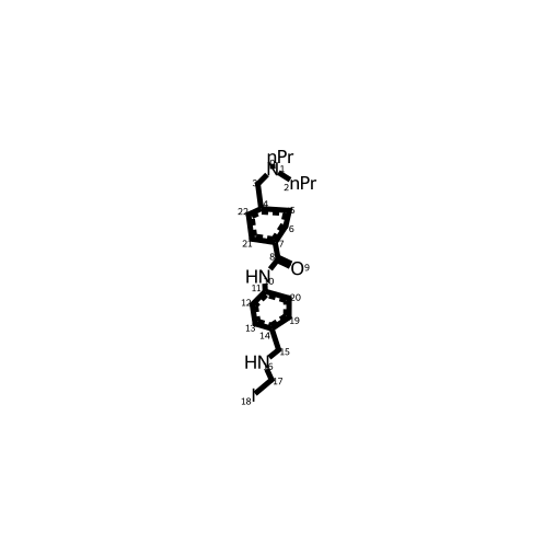 CCCN(CCC)Cc1ccc(C(=O)Nc2ccc(CNCI)cc2)cc1